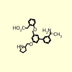 C[C@@H](N)c1cccc(-c2cc(COc3ccccc3CC(=O)O)cc(OCC3CCCN3)c2)c1